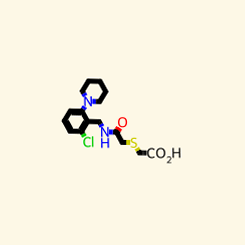 O=C(O)CSCC(=O)NCc1c(Cl)cccc1N1CCCCC1